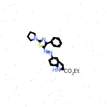 CCOC(=O)c1cc2cc(/N=N/c3sc(N4CCCC4)nc3-c3ccccc3)ccc2[nH]1